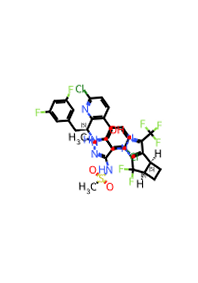 Cn1nc(NS(C)(=O)=O)c2c(Cl)ccc(-c3ccc(Cl)nc3[C@H](Cc3cc(F)cc(F)c3)NC(O)Cn3nc(C(F)(F)F)c4c3C(F)(F)[C@@H]3CC[C@H]43)c21